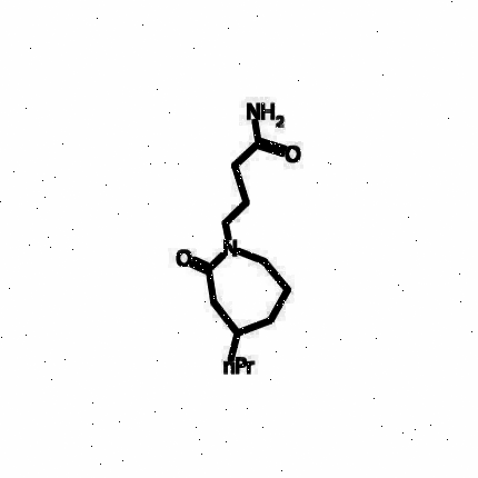 CCCC1CCCN(CCCC(N)=O)C(=O)C1